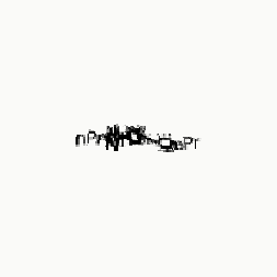 CCCc1ncc(-c2ccc(CC[C@H]3CC[C@H](CCC)CC3)c(C)c2)cn1